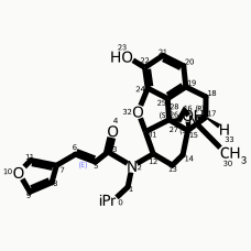 CC(C)CN(C(=O)/C=C/c1ccoc1)C1CC[C@@]2(O)[C@H]3Cc4ccc(O)c5c4[C@@]2(CCN3C)C1O5